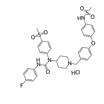 CS(=O)(=O)Nc1ccc(Oc2ccc(CN3CCC(N(C(=O)Nc4ccc(F)cc4)c4ccc(S(C)(=O)=O)cc4)CC3)cc2)cc1.Cl